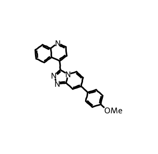 COc1ccc(-c2ccn3c(-c4ccnc5ccccc45)nnc3c2)cc1